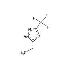 CCc1[c]c(C(F)(F)F)n[nH]1